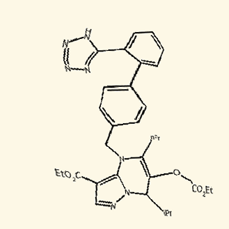 CCCC1=C(OC(=O)OCC)C(C(C)C)n2ncc(C(=O)OCC)c2N1Cc1ccc(-c2ccccc2-c2nnn[nH]2)cc1